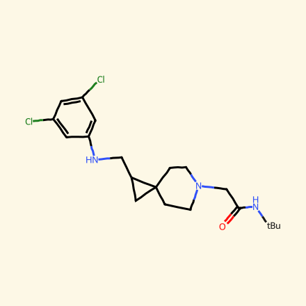 CC(C)(C)NC(=O)CN1CCC2(CC1)CC2CNc1cc(Cl)cc(Cl)c1